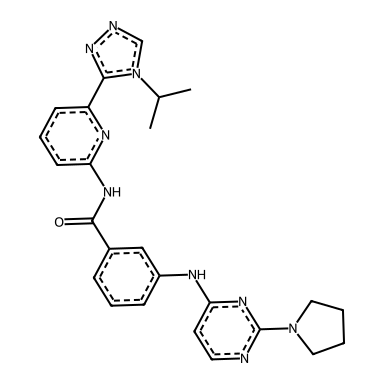 CC(C)n1cnnc1-c1cccc(NC(=O)c2cccc(Nc3ccnc(N4CCCC4)n3)c2)n1